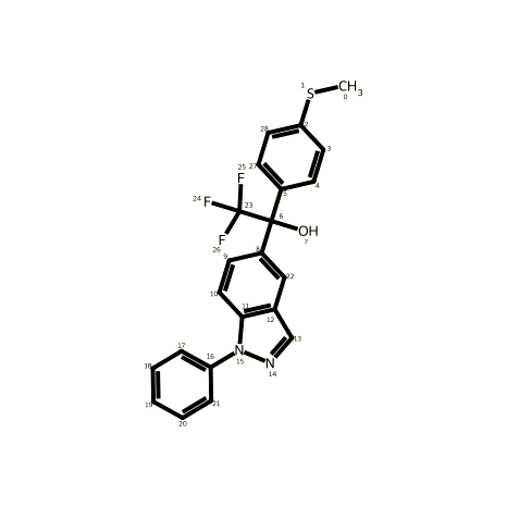 CSc1ccc(C(O)(c2ccc3c(cnn3-c3ccccc3)c2)C(F)(F)F)cc1